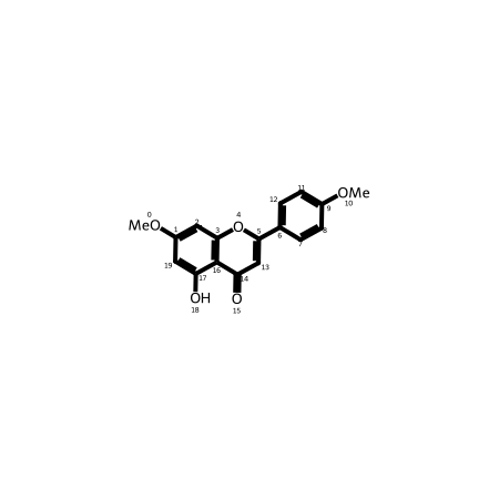 COc1[c]c2oc(-c3ccc(OC)cc3)cc(=O)c2c(O)c1